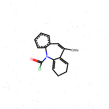 COC1=Cc2ccccc2N(C(=O)Cl)C2=CCCC=C12